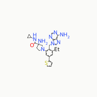 CCc1cc(-c2cccs2)cc(N2CC[C@](N)(C(=O)NC3CC3)C2)c1Cn1cnc2c(N)ncnc21